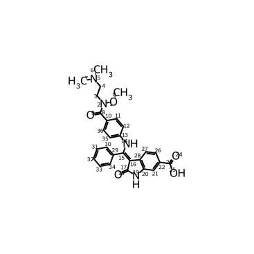 CON(CCN(C)C)C(=O)c1ccc(N/C(=C2/C(=O)Nc3cc(C(=O)O)ccc32)c2ccccc2)cc1